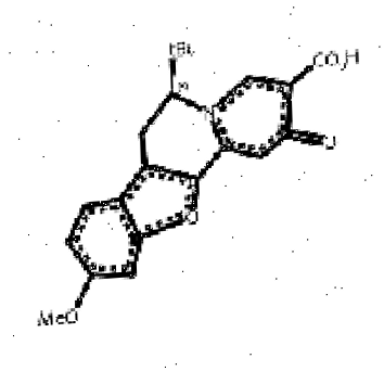 COc1ccc2c3c(oc2c1)-c1cc(=O)c(C(=O)O)cn1[C@H](C(C)(C)C)C3